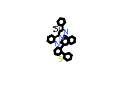 C[Si]1(C)c2ccccc2-c2nc(-c3ccccc3)nc(-c3ccccc3-n3c4ccccc4c4c5c(ccc43)sc3ccccc35)c21